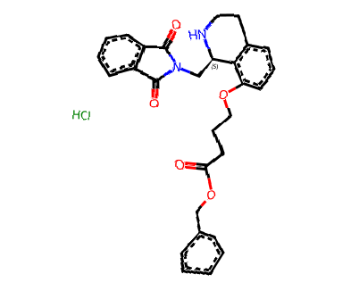 Cl.O=C(CCCOc1cccc2c1[C@@H](CN1C(=O)c3ccccc3C1=O)NCC2)OCc1ccccc1